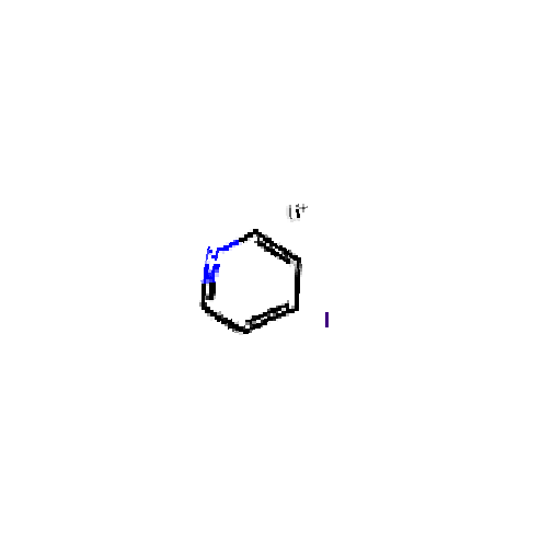 [I-].[Li+].c1ccncc1